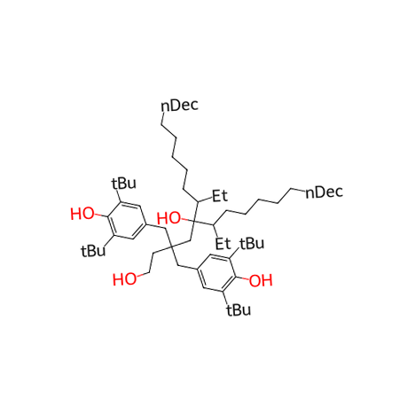 CCCCCCCCCCCCCCCC(CC)C(O)(CC(CCO)(Cc1cc(C(C)(C)C)c(O)c(C(C)(C)C)c1)Cc1cc(C(C)(C)C)c(O)c(C(C)(C)C)c1)C(CC)CCCCCCCCCCCCCCC